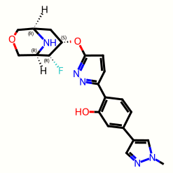 Cn1cc(-c2ccc(-c3ccc(O[C@H]4C[C@@H]5COC[C@@H](N5)[C@H]4F)nn3)c(O)c2)cn1